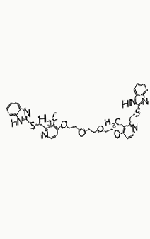 Cc1c(OCCOCCOCCOc2ccnc(CSc3nc4ccccc4[nH]3)c2C)ccnc1CSc1nc2ccccc2[nH]1